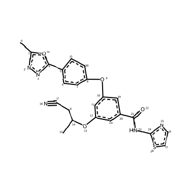 Cc1nnc(-c2ccc(Oc3cc(OC(C)CC#N)cc(C(=O)Nc4nccs4)c3)cc2)o1